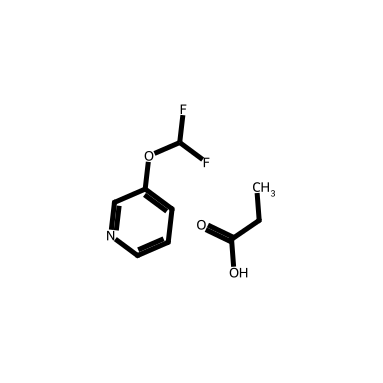 CCC(=O)O.FC(F)Oc1cccnc1